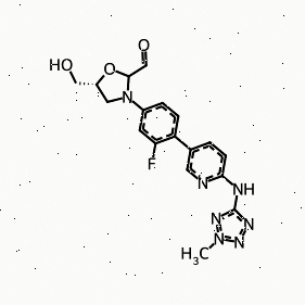 Cn1nnc(Nc2ccc(-c3ccc(N4C[C@H](CO)OC4C=O)cc3F)cn2)n1